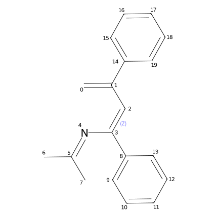 C=C(/C=C(\N=C(C)C)c1ccccc1)c1ccccc1